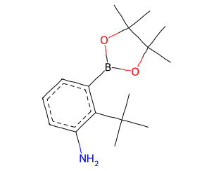 CC(C)(C)c1c(N)cccc1B1OC(C)(C)C(C)(C)O1